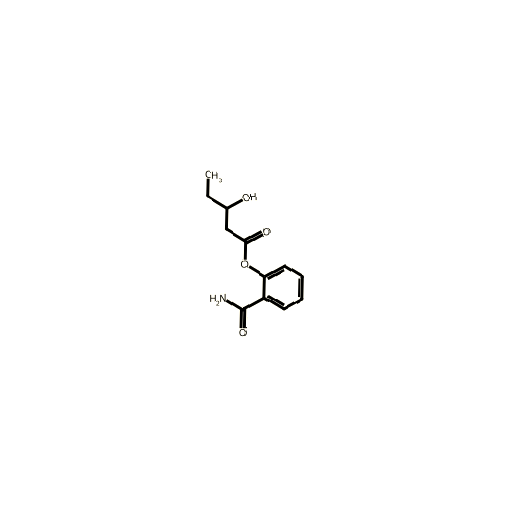 CCC(O)CC(=O)Oc1ccccc1C(N)=O